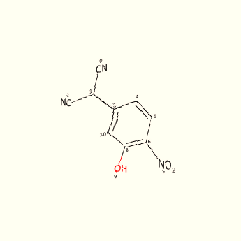 N#CC(C#N)c1ccc([N+](=O)[O-])c(O)c1